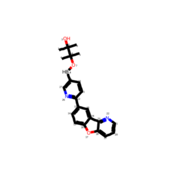 CC(C)(O)C(C)(C)OBc1ccc(-c2ccc3oc4cccnc4c3c2)nc1